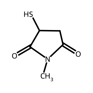 CN1C(=O)CC(S)C1=O